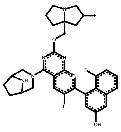 Oc1cc(-c2nc3nc(OC[C@@]45CCCN4CC(F)C5)nc(N4CC5CCC(C4)N5)c3cc2F)c2c(F)cccc2c1